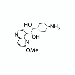 COc1ccc2nccc([C@@H](O)[C@H](O)[C@H]3CC[C@H](N)CC3)c2n1